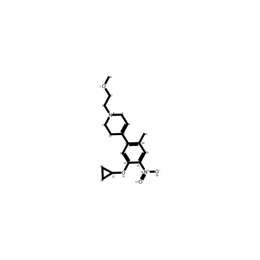 COCCN1CC=C(c2cc(OC3CC3)c([N+](=O)[O-])cc2C)CC1